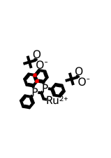 CC(C)(C)C(=O)[O-].CC(C)(C)C(=O)[O-].[Ru+2][CH2]C(P(c1ccccc1)c1ccccc1)P(c1ccccc1)c1ccccc1